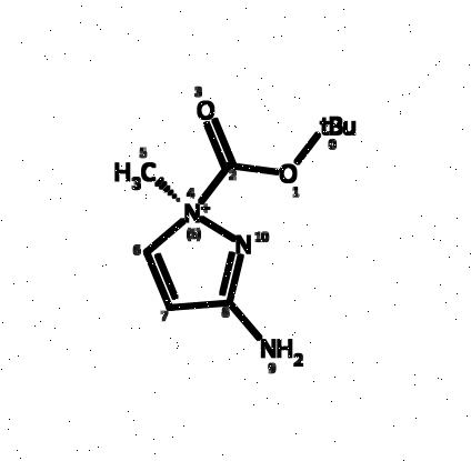 CC(C)(C)OC(=O)[N@+]1(C)C=CC(N)=N1